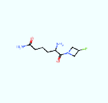 NC(=O)CCCC(N)C(=O)N1CC(F)C1